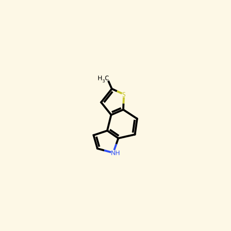 Cc1cc2c(ccc3[nH]ccc32)s1